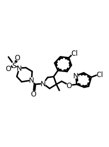 CC1(COc2ccc(Cl)cn2)CN(C(=O)N2CCN(S(C)(=O)=O)CC2)CC1c1ccc(Cl)cc1